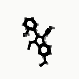 CCN1c2cc(OC)ccc2C(C#N)C1c1ccccc1Cl